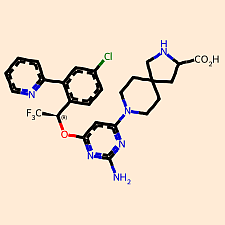 Nc1nc(O[C@H](c2ccc(Cl)cc2-c2ccccn2)C(F)(F)F)cc(N2CCC3(CC2)CNC(C(=O)O)C3)n1